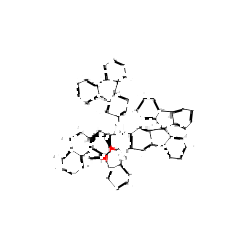 c1ccc2c(c1)-c1ccccc1C21c2ccccc2-c2cc(-n3c4ccccc4c4ccccc43)c(N(c3ccc4c(ccc5ccccc54)c3)c3ccc4c5ccccc5c5ccccc5c4c3)cc21